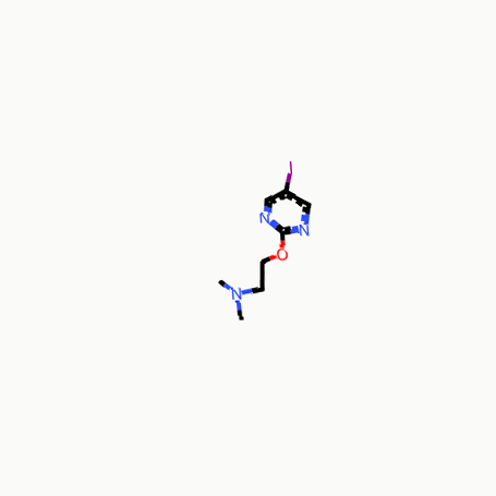 CN(C)CCOc1ncc(I)cn1